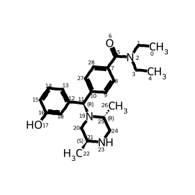 CCN(CC)C(=O)c1ccc([C@H](c2cccc(O)c2)N2C[C@H](C)NC[C@H]2C)cc1